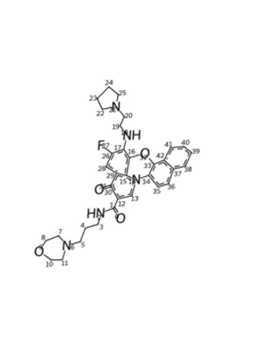 O=C(NCCCN1CCOCC1)c1cn2c3c(c(NCCN4CCCC4)c(F)cc3c1=O)Oc1c-2ccc2ccccc12